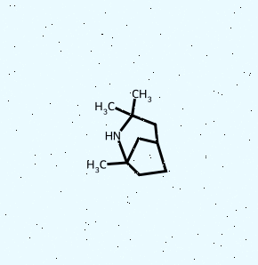 CC1(C)CC2[CH]CC(C)(C2)N1